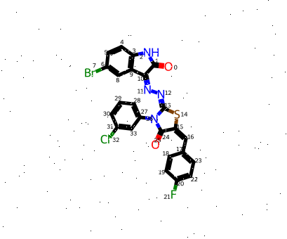 O=C1Nc2ccc(Br)cc2C1=NN=C1SC(=Cc2ccc(F)cc2)C(=O)N1c1cccc(Cl)c1